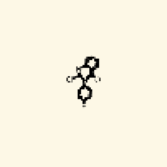 O=c1c2ccccc2nc(Cl)n1-c1ccc(F)cc1